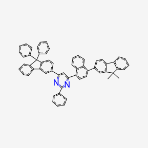 CC1(C)c2ccccc2-c2ccc(-c3ccc(-c4cc(-c5ccc6c(c5)-c5ccccc5C6(c5ccccc5)c5ccccc5)nc(-c5ccccc5)n4)c4ccccc34)cc21